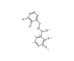 [O]C(OCc1cccc(F)c1F)c1cccc(F)c1F